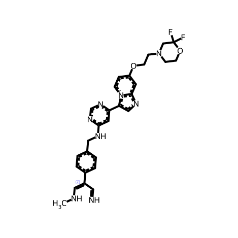 CN/C=C(\C=N)c1ccc(CNc2cc(-c3cnc4cc(OCCN5CCOC(F)(F)C5)ccn34)ncn2)cc1